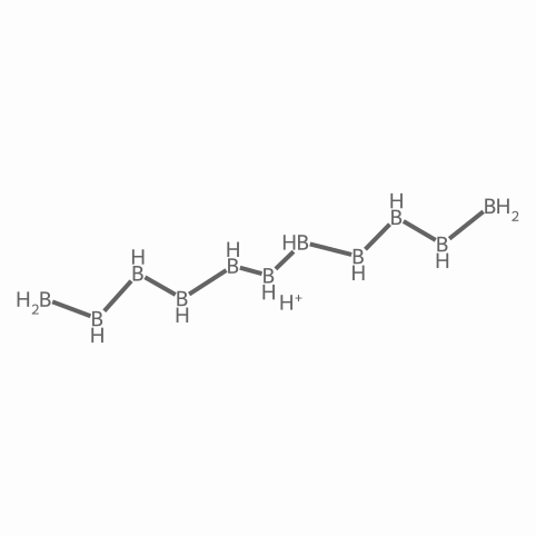 BBBBBBBBBBB.[H+]